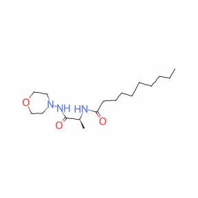 CCCCCCCCCC(=O)N[C@@H](C)C(=O)NN1CCOCC1